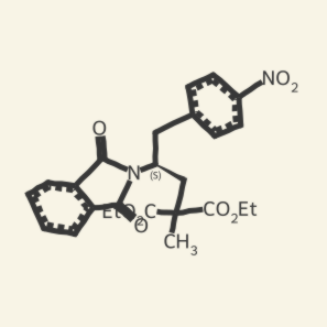 CCOC(=O)C(C)(C[C@H](Cc1ccc([N+](=O)[O-])cc1)N1C(=O)c2ccccc2C1=O)C(=O)OCC